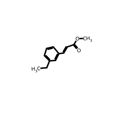 CCc1cccc(/C=C/C(=O)OC)c1